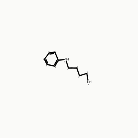 OCCCCNc1ccccc1